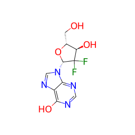 OC[C@H]1O[C@@H](n2cnc3c(O)ncnc32)C(F)(F)[C@@H]1O